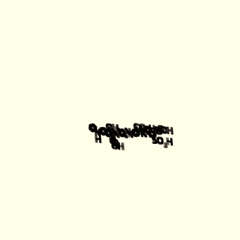 Cc1cc(N=Nc2c(SOOO)cc3cc(Nc4ccccc4)ccc3c2O)c(C)cc1N=Nc1ccc(-n2nc3ccc4c(SOOO)cc(S(=O)(=O)O)cc4c3n2)c(C(=O)O)c1